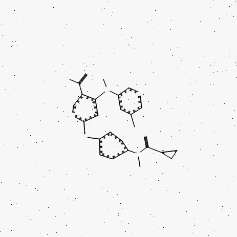 CN(C(=O)C1CC1)c1ccc(Nc2cc(N(C)c3cncc(F)c3)c(C(N)=O)cn2)cc1